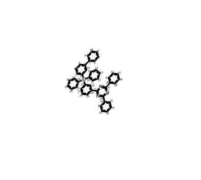 c1ccc(-c2cccc([Si](c3ccccc3)(c3ccccc3)c3cccc(-c4nc(-c5ccccc5)nc(-c5ccccc5)n4)c3)c2)cc1